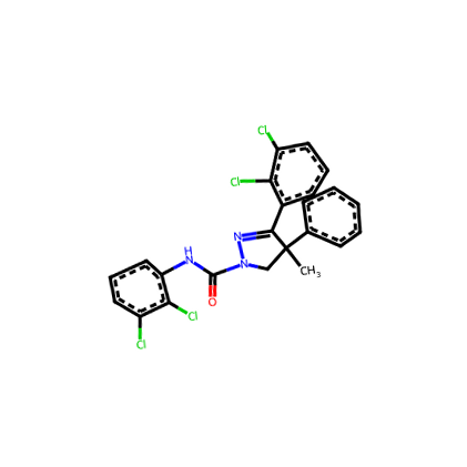 CC1(c2ccccc2)CN(C(=O)Nc2cccc(Cl)c2Cl)N=C1c1cccc(Cl)c1Cl